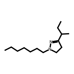 CCCCCCCN1CCC(C(C)CC)=N1